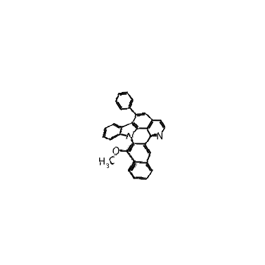 COc1c2ccccc2cc2c3nccc4cc(-c5ccccc5)c5c6ccccc6n(c12)c5c43